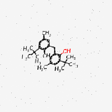 Cc1cc(Cc2cc(C)cc(C(C)(C)C)c2O)c(C)c(C(C)(C)C)c1